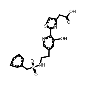 O=C(O)Cc1csc(-c2ncc(CCNS(=O)(=O)Cc3ccccc3)cc2O)n1